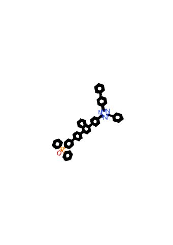 O=P(c1ccccc1)(c1ccccc1)c1ccc(-c2ccc(-c3ccc(-c4ccc(-c5nc(-c6ccccc6)nc(-c6ccc(-c7ccccc7)cc6)n5)cc4)c4ccccc34)cc2)cc1